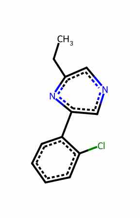 CCc1cncc(-c2ccccc2Cl)n1